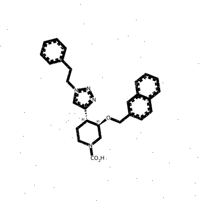 O=C(O)N1CC[C@H](c2cn(CCc3ccccc3)nn2)[C@@H](OCc2ccc3ccccc3c2)C1